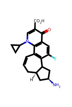 N[C@@H]1CC2c3c(F)cc4c(=O)c(C(=O)O)cn(C5CC5)c4c3C=CC[C@@H]2C1